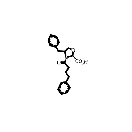 O=C(O)[C@@H]1OCC(Cc2ccccc2)N1C(=O)CCCc1ccccc1